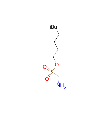 CCC(C)CCCCOS(=O)(=O)CN